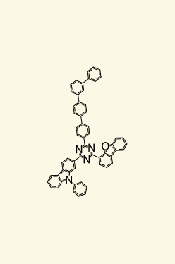 c1ccc(-c2cccc(-c3ccc(-c4ccc(-c5nc(-c6ccc7c8ccccc8n(-c8ccccc8)c7c6)nc(-c6cccc7c6oc6ccccc67)n5)cc4)cc3)c2)cc1